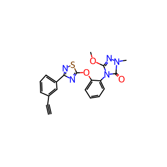 C#Cc1cccc(-c2nsc(Oc3ccccc3-n3c(OC)nn(C)c3=O)n2)c1